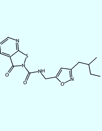 CCC(C)Cc1cc(CNC(=O)n2sc3ncccc3c2=O)on1